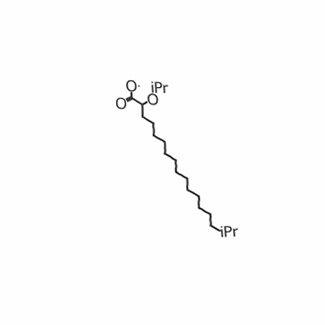 CC(C)CCCCCCCCCCCCCC(OC(C)C)C([O])=O